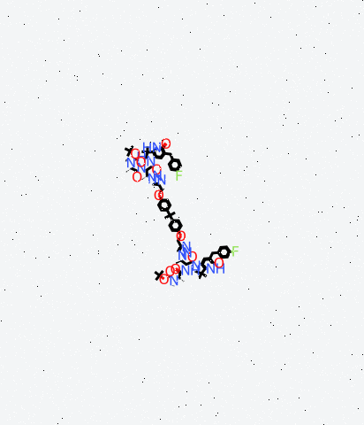 C[C@H]([C@H](NC(=O)[C@H](C)N(C)C(=O)OC(C)(C)C)C(=O)N1CC(C)(C)c2[nH]c(=O)c(Cc3ccc(F)cc3)cc21)n1cc(COc2ccc(C(C)(C)c3ccc(OCc4cn([C@H](C)[C@H](NC(=O)[C@H](C)N(C)C(=O)OC(C)(C)C)C(=O)N5CC(C)(C)c6[nH]c(=O)c(Cc7ccc(F)cc7)cc65)nn4)cc3)cc2)nn1